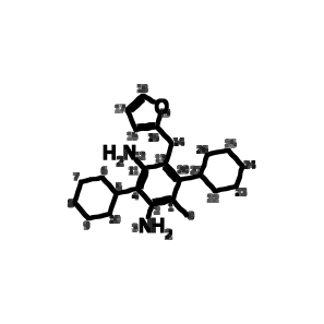 Cc1c(N)c(C2CCCCC2)c(N)c(Cc2ccco2)c1C1CCCCC1